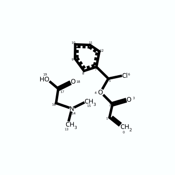 C=CC(=O)OC(Cl)c1ccccc1.CN(C)CC(=O)O